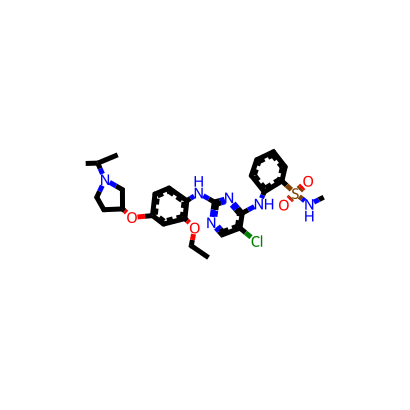 CCOc1cc(OC2CCN(C(C)C)C2)ccc1Nc1ncc(Cl)c(Nc2ccccc2S(=O)(=O)NC)n1